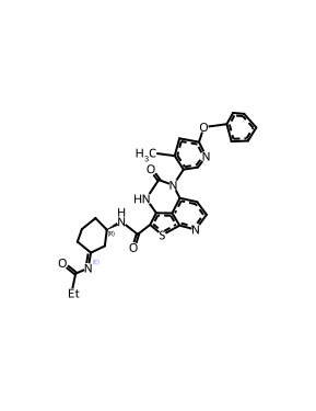 CCC(=O)/N=C1\CCC[C@@H](NC(=O)c2sc3nccc4c3c2NC(=O)N4c2cnc(Oc3ccccc3)cc2C)C1